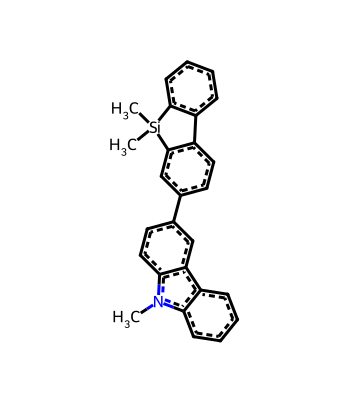 Cn1c2ccccc2c2cc(-c3ccc4c(c3)[Si](C)(C)c3ccccc3-4)ccc21